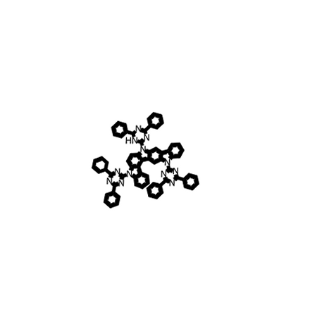 C1=CCC(c2nc(-c3ccccc3)nc(-n3c4ccccc4c4c5c6cc7c(cc6n(C6=NC(c8ccccc8)=NC(c8ccccc8)N6)c5ccc43)c3ccccc3n7-c3nc(-c4ccccc4)nc(-c4ccccc4)n3)n2)C=C1